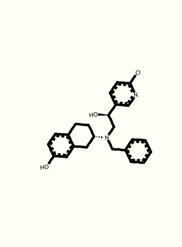 Oc1ccc2c(c1)C[C@@H](N(Cc1ccccc1)C[C@@H](O)c1ccc(Cl)nc1)CC2